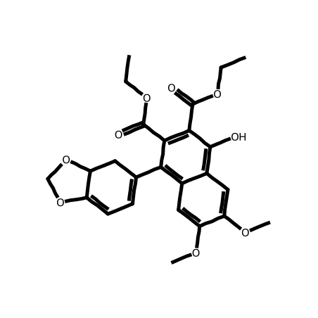 CCOC(=O)c1c(C(=O)OCC)c(C2=CC=C3OCOC3C2)c2cc(OC)c(OC)cc2c1O